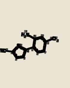 N#Cc1ccc(-c2ccc(C(F)(F)F)cc2N)s1